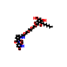 CCCCCCCC(=O)c1c(O)cc(O)cc1CC(=O)OCCOCCOCCOCCNc1cccc2c1C(=O)N(C1CCC(=O)NC1=O)C2=O